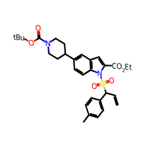 C=CC(c1ccc(C)cc1)S(=O)(=O)n1c(C(=O)OCC)cc2cc(C3CCN(C(=O)OC(C)(C)C)CC3)ccc21